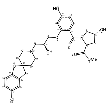 COC(=O)C1C[C@@H](O)CN1C(=O)c1ccc(O)cc1OC[C@@H](O)CN1CCC2(CC1)Cc1cc(Cl)ccc1O2